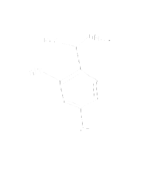 CCCCCCC(C(=O)O)c1ccc(C(F)(F)F)cc1CCC